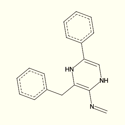 C=NC1=C(Cc2ccccc2)NC(c2ccccc2)=CN1